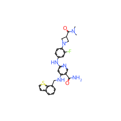 CN(C)C(=O)C1CN(c2ccc(Nc3cc(NCc4cccc5ccsc45)c(C(N)=O)cn3)cc2F)C1